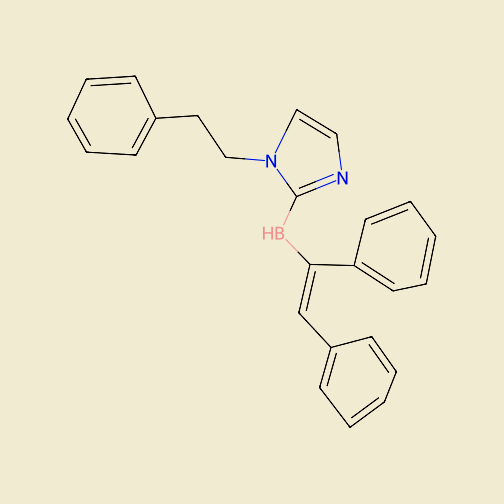 B(C(=Cc1ccccc1)c1ccccc1)c1nccn1CCc1ccccc1